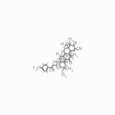 CC1(C)CC[C@]2(NC(=O)/C=C(\C#N)c3ccc(C(F)(F)F)cc3)CC[C@]3(C)[C@H](C(=O)C=C4[C@@]5(C)C=C(C#N)C(=O)C(C)(C)[C@@H]5CC[C@]43C)[C@@H]2C1